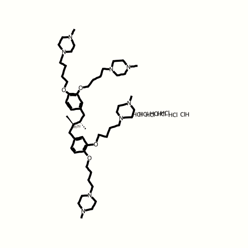 C[C@H](Cc1ccc(OCCCCN2CCN(C)CC2)c(OCCCCN2CCN(C)CC2)c1)[C@@H](C)Cc1ccc(OCCCCN2CCN(C)CC2)c(OCCCCN2CCN(C)CC2)c1.Cl.Cl.Cl.Cl.Cl.Cl.Cl.Cl